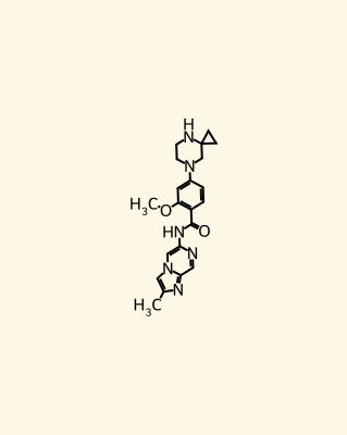 COc1cc(N2CCNC3(CC3)C2)ccc1C(=O)Nc1cn2cc(C)nc2cn1